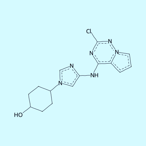 OC1CCC(n2cnc(Nc3nc(Cl)nn4cccc34)c2)CC1